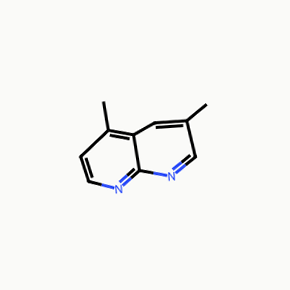 Cc1cnc2nccc(C)c2c1